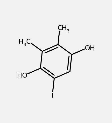 Cc1c(O)cc(I)c(O)c1C